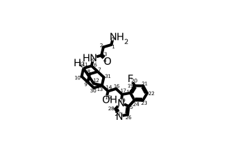 NCCC(=O)NC1C2CC3C[C@@H]1CC(C(O)CC1c4c(F)cccc4-c4cncn41)(C3)C2